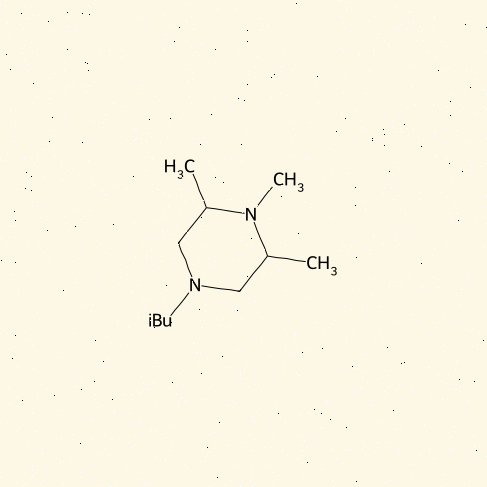 CCC(C)N1CC(C)N(C)C(C)C1